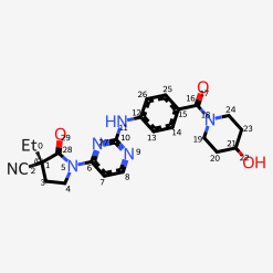 CC[C@]1(C#N)CCN(c2ccnc(Nc3ccc(C(=O)N4CCC(O)CC4)cc3)n2)C1=O